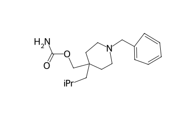 CC(C)CC1(COC(N)=O)CCN(Cc2ccccc2)CC1